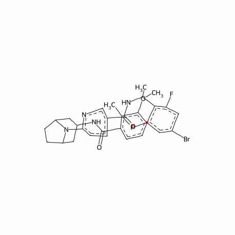 COc1cccc(C(=O)NC2CC3CCC(C2)N3c2ccc(C(=O)NC(C)c3c(F)cc(Br)cc3F)cn2)c1C